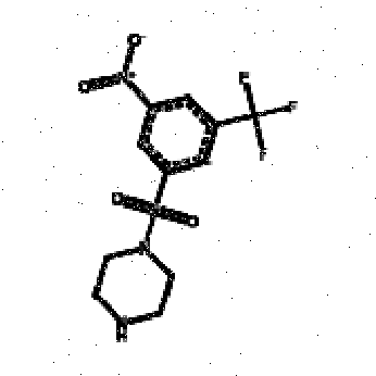 O=[N+]([O-])c1cc(C(F)(F)F)[c]c(S(=O)(=O)N2CCNCC2)c1